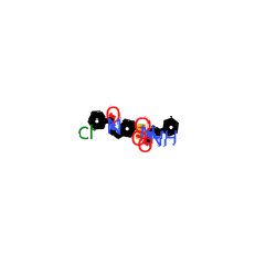 O=C(c1cccc(Cl)c1)N1CCc2cc(S(=O)(=O)N3CC(c4ccccc4)NC3=O)ccc21